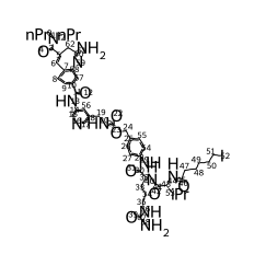 CCCN(CCC)C(=O)C1=Cc2ccc(C(=O)Nc3cncc(CNC(=O)OCc4ccc(NC(=O)[C@H](CCCNC(N)=O)NC(=O)[C@@H](NC(=O)CCCCCI)C(C)C)cc4)c3)cc2N=C(N)C1